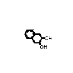 OC1Cc2[c]cccc2CC1O